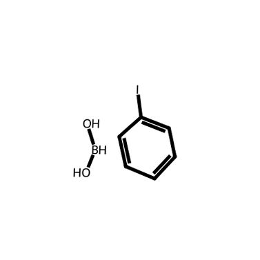 Ic1ccccc1.OBO